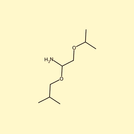 CC(C)COC(N)COC(C)C